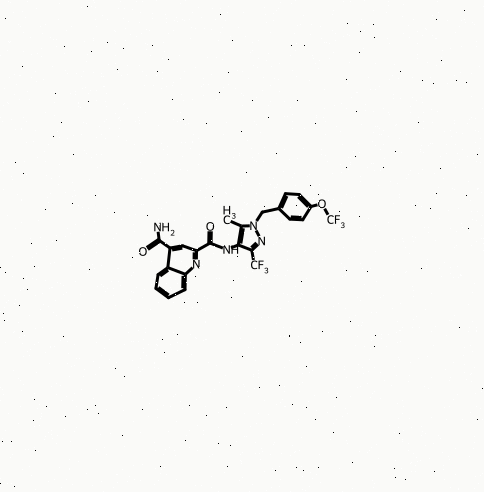 Cc1c(NC(=O)c2cc(C(N)=O)c3ccccc3n2)c(C(F)(F)F)nn1Cc1ccc(OC(F)(F)F)cc1